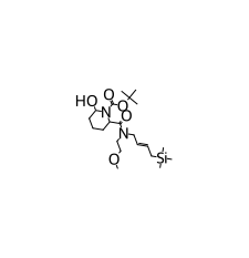 COCCN(CC=CC[Si](C)(C)C)C(=O)C1CCCC(O)N1C(=O)OC(C)(C)C